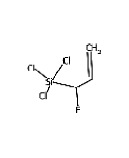 C=CC(F)[Si](Cl)(Cl)Cl